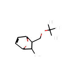 CC1C2C=CC(O2)C1COC(C)(C)C